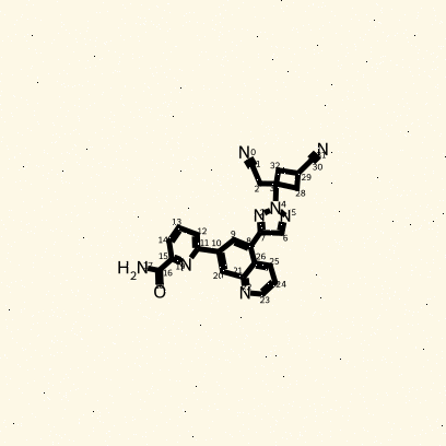 N#CCC1(n2ncc(-c3cc(-c4cccc(C(N)=O)n4)cc4ncccc34)n2)CC(C#N)C1